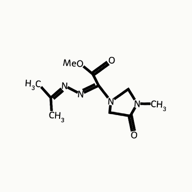 COC(=O)C(=NN=C(C)C)N1CC(=O)N(C)C1